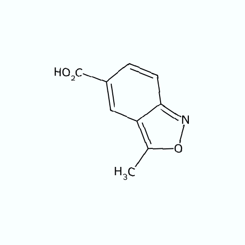 Cc1onc2ccc(C(=O)O)cc12